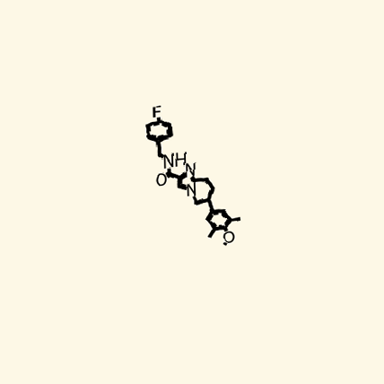 COc1c(C)cc(C2CCc3nc(C(=O)NCc4ccc(F)cc4)cn3C2)cc1C